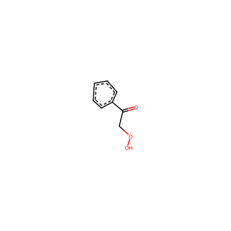 O=C(COO)c1[c]cccc1